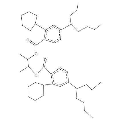 CCCCC(CCC)c1ccc(C(=O)OC(C)C(C)OC(=O)c2ccc(C(CCC)CCCC)cc2C2CCCCC2)c(C2CCCCC2)c1